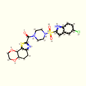 O=C(c1nc2c(s1)C1OCCOC1CC2)N1CCN(S(=O)(=O)c2cc3cc(Cl)ccc3[nH]2)CC1